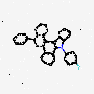 Fc1ccc(-n2c3ccccc3c3c4c5ccccc5c(-c5ccccc5)cc4c4ccccc4c32)cc1